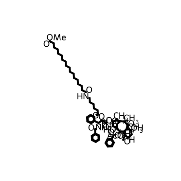 COC(=O)CCCCCCCCCCCCCCCCC(=O)NCCCCCC(=O)O[C@@H](C(=O)O[C@H]1C[C@@]2(O)[C@@H](OC(=O)c3ccccc3)[C@@H]3[C@]4(OC(C)=O)CO[C@@H]4C[C@H](O)[C@@]3(C)C(=O)[C@H](C)C(=C1C)C2(C)C)[C@@H](NC(=O)c1ccccc1)c1ccccc1